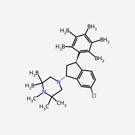 Bc1c(B)c(B)c([C@@H]2C[C@@H](N3CC(B)(B)N(C)C(C)(C)C3)c3cc(Cl)ccc32)c(B)c1B